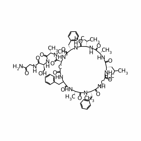 CC(C)C[C@@H]1NC(=O)CNC(=O)[C@H](Cc2ccccc2)N(C)C(=O)[C@H](C)NC(=O)C(Cc2ccccc2)NC(=O)C[C@@H](C(=O)N(C)[C@@H](C)C(=O)N[C@@H](CO)C(=O)NCC(N)=O)NC(=O)[C@H](Cc2ccccc2)NC(=O)[C@H](C(C)C)NC(=O)[C@H](C)NC1=O